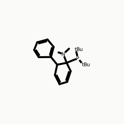 CN(C)C1(P(C(C)(C)C)C(C)(C)C)C=CC=CC1c1ccccc1